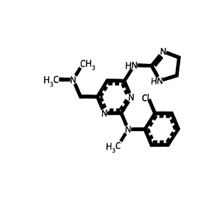 CN(C)Cc1cc(NC2=NCCN2)nc(N(C)c2ccccc2Cl)n1